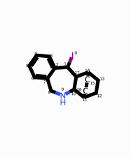 IC1c2ccccc2CNC2C3CCC(CC3)C12